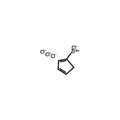 [Cl-].[Cl-].[Cl-].[Cl-].[Zr+4][C]1=CC=CC1